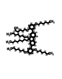 CCCCCCCCC1(CCCCCCCC)c2cc(-c3nc(OCCCCCC)cnc3OCCCCCC)ccc2-c2ccc(-c3nc(OCCCCCC)cnc3OCCCCCC)cc21